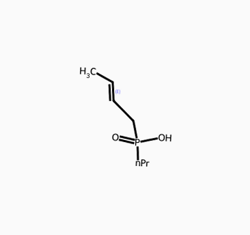 C/C=C/CP(=O)(O)CCC